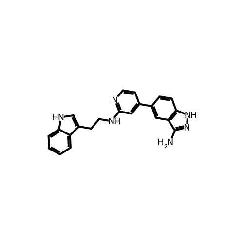 Nc1n[nH]c2ccc(-c3ccnc(NCCc4c[nH]c5ccccc45)c3)cc12